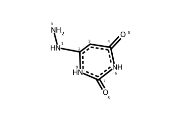 NNc1cc(=O)[nH]c(=O)[nH]1